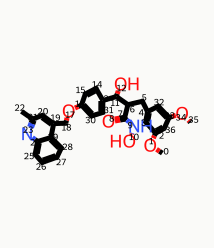 COc1cc(CC(C(=O)NO)C(O)c2ccc(OCc3cc(C)nc4ccccc34)cc2)cc(OC)c1